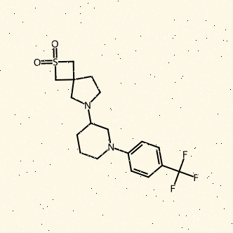 O=S1(=O)CC2(CCN(C3CCCN(c4ccc(C(F)(F)F)cc4)C3)C2)C1